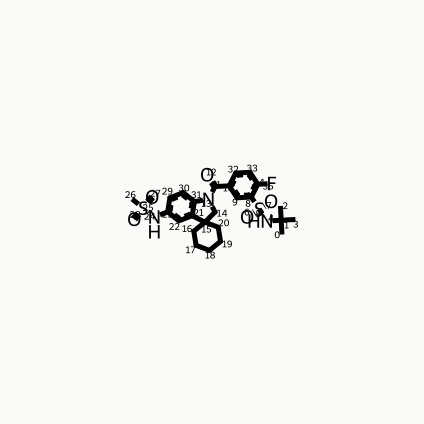 CC(C)(C)NS(=O)(=O)c1cc(C(=O)N2CC3(CCCCC3)c3cc(NS(C)(=O)=O)ccc32)ccc1F